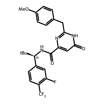 COc1ccc(Cc2nc(C(=O)N[C@@H](c3ccc(C(F)(F)F)c(F)c3)C(C)(C)C)cc(=O)[nH]2)cc1